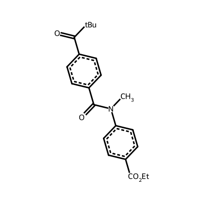 CCOC(=O)c1ccc(N(C)C(=O)c2ccc(C(=O)C(C)(C)C)cc2)cc1